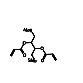 C=CC(=O)OC(CSC)C(CSC)OC(=O)C=C